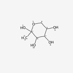 CC1(O)OCC(O)C(O)C1O